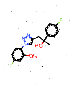 CC(O)(Cc1cn(-c2ccc(F)cc2O)nn1)c1ccc(F)cc1